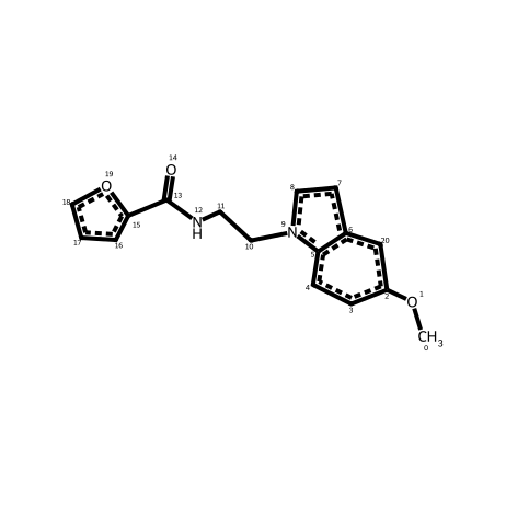 COc1ccc2c(ccn2CCNC(=O)c2ccco2)c1